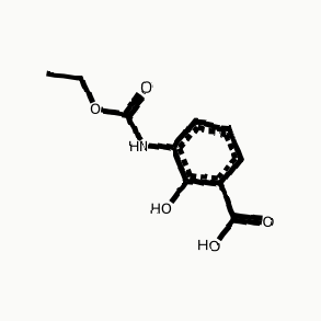 CCOC(=O)Nc1cccc(C(=O)O)c1O